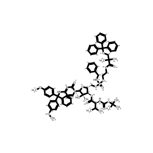 COc1ccc(C(Nc2ccn(C3O[C@H](COP(=O)(NCc4ccccc4)OCCSC(=O)C(C)(C)COC(c4ccccc4)(c4ccccc4)c4ccccc4)[C@@H](OC(=O)[C@@H](NC(=O)OC(C)(C)C)C(C)C)[C@@]3(C)O)c(=O)n2)(c2ccccc2)c2ccc(OC)cc2)cc1